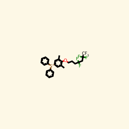 Cc1cc([S+](c2ccccc2)c2ccccc2)cc(C)c1OCCCC(F)(F)CC(F)(F)C(F)(F)F